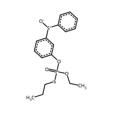 CCCSP(=O)(OCC)Oc1cccc([S+]([O-])c2ccccc2)c1